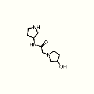 O=C(CN1CCC(O)C1)NC1CCNC1